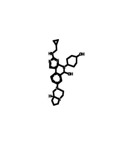 OC1CCC(N2c3nc(NCC4CC4)ncc3-c3ccc(N4CCN5CCC[C@@H]5C4)cc3C2O)CC1